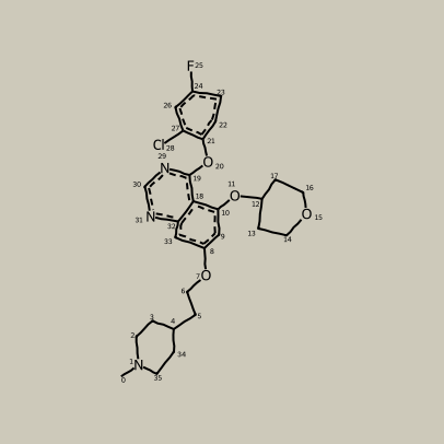 CN1CCC(CCOc2cc(OC3CCOCC3)c3c(Oc4ccc(F)cc4Cl)ncnc3c2)CC1